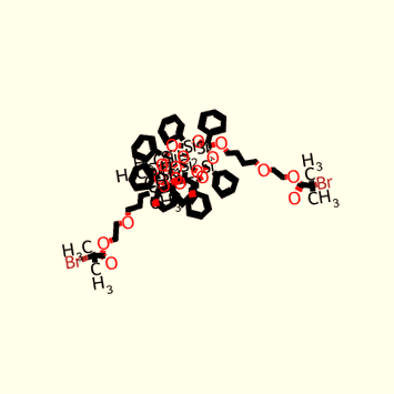 C[SiH2]O[Si]1(c2ccccc2)O[Si]2(c3ccccc3)O[Si](OCCCCOCCOC(=O)C(C)(C)Br)(c3ccccc3)O[Si](c3ccccc3)(O1)O[Si]1(c3ccccc3)O[Si](O[SiH2]C)(c3ccccc3)O[Si](c3ccccc3)(O[Si](O[Si](C)(C)CCCOCCOC(=O)C(C)(C)Br)(c3ccccc3)O1)O2